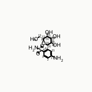 Nc1ccc(S(N)(=O)=O)c([C@@H]2O[C@H](CO)[C@@H](O)[C@H](O)[C@H]2O)c1